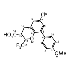 COc1ccc(-c2cc(Cl)cc3c2OC(C(F)(F)F)C(C(=O)O)C3)cc1